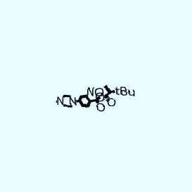 C=C(C(=O)OC(=O)c1ccc(N2CCN(C)CC2)cc1[N+](=O)[O-])C(C)(C)C